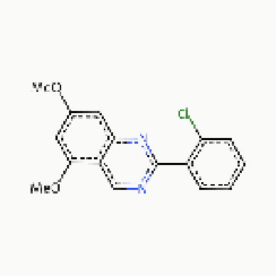 COc1cc(OC)c2cnc(-c3ccccc3Cl)nc2c1